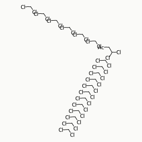 CC(=O)CC(Cl)Cl.ClCCl.ClCCl.ClCCl.ClCCl.ClCCl.ClCCl.ClCCl.ClCCl.ClCCl.ClCCl.ClCCl.ClCCl.ClCCl.ClCCl.ClCCl.ClCCl.ClCCl.ClCCl